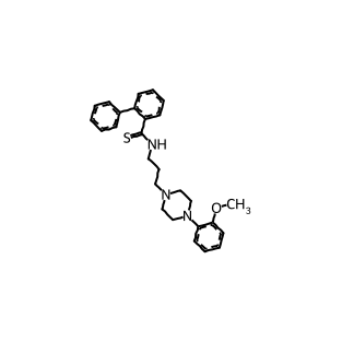 COc1ccccc1N1CCN(CCCNC(=S)c2ccccc2-c2ccccc2)CC1